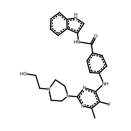 Cc1nc(N2CCN(CCO)CC2)nc(Nc2ccc(C(=O)Nc3c[nH]c4ccccc34)cc2)c1F